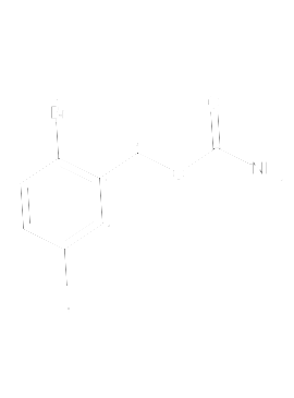 NC(=O)OCc1cc(I)ccc1Br